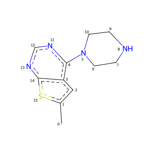 Cc1cc2c(N3CCNCC3)ncnc2s1